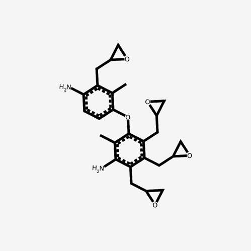 Cc1c(Oc2c(C)c(N)c(CC3CO3)c(CC3CO3)c2CC2CO2)ccc(N)c1CC1CO1